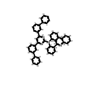 c1ccc(-c2cccc(-c3cc(-c4cccc(-c5ccccc5)c4)nc(N4c5ccccc5-c5nc6ccccc6c6cccc4c56)n3)c2)cc1